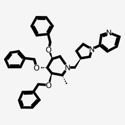 C[C@@H]1[C@@H](OCc2ccccc2)[C@H](OCc2ccccc2)[C@@H](OCc2ccccc2)CN1C[C@H]1CCN(c2cccnc2)C1